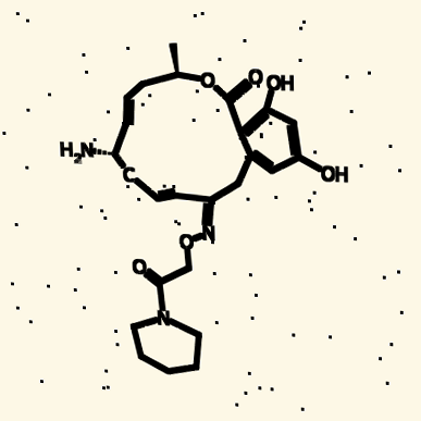 C[C@@H]1C/C=C/[C@@H](N)C/C=C/C(=N\OCC(=O)N2CCCCC2)Cc2cc(O)cc(O)c2C(=O)O1